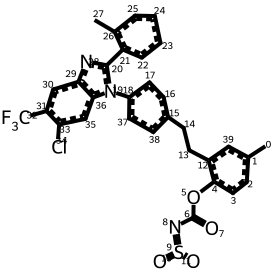 Cc1ccc(OC(=O)N=S(=O)=O)c(CCc2ccc(-n3c(-c4ccccc4C)nc4cc(C(F)(F)F)c(Cl)cc43)cc2)c1